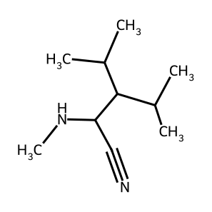 CNC(C#N)C(C(C)C)C(C)C